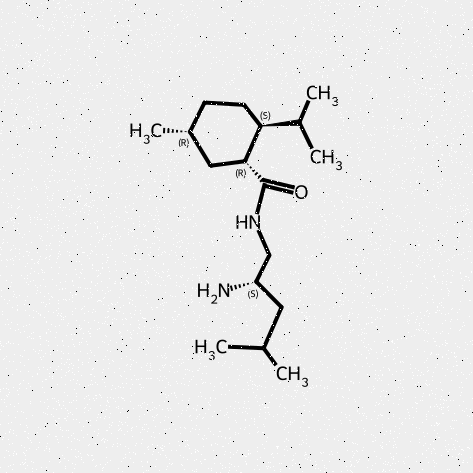 CC(C)C[C@H](N)CNC(=O)[C@@H]1C[C@H](C)CC[C@H]1C(C)C